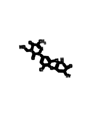 Cc1nn(-c2cc(Cl)c(Oc3cc(C(C)C)c(=O)[nH]n3)c(Cl)c2)c(=O)n(CO)c1=O